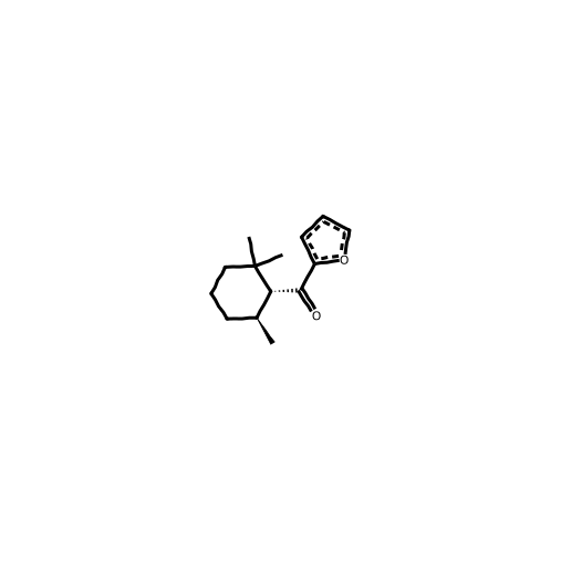 C[C@H]1CCCC(C)(C)[C@@H]1C(=O)c1ccco1